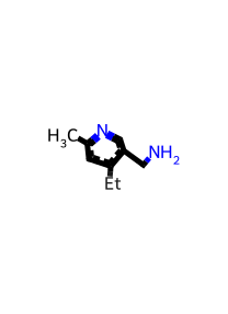 CCc1cc(C)ncc1CN